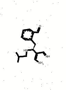 CC(C)CN[C@@H](Cc1ccccc1C=O)/C(C=N)=C/N